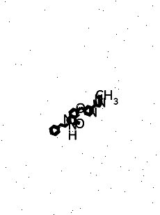 Cn1cc(-c2cc(Oc3ccc4nc(CCc5ccccc5)[nH]c(=O)c4c3)ccn2)cn1